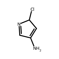 NC1=CC(Cl)N=C1